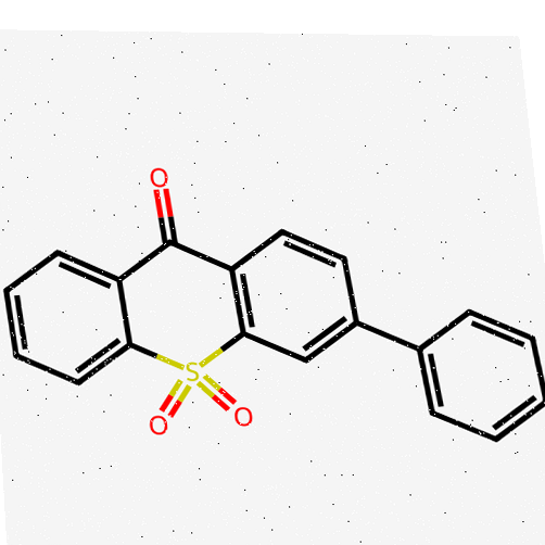 O=C1c2ccccc2S(=O)(=O)c2cc(-c3ccccc3)ccc21